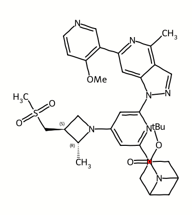 COc1ccncc1-c1cc2c(cnn2-c2cc(N3C[C@H](CS(C)(=O)=O)[C@H]3C)cc(N3CC4CC(C3)N4C(=O)OC(C)(C)C)n2)c(C)n1